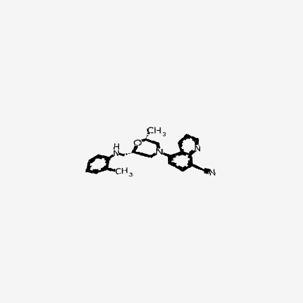 Cc1ccccc1NC[C@H]1CN(c2ccc(C#N)c3ncccc23)C[C@@H](C)O1